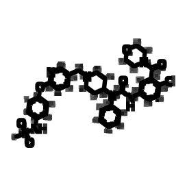 CS(=O)(=O)Nc1ccc(Oc2ccc(CN3CCC(N(C(=O)Nc4ccc(Cl)c(C(=O)N5CCOCC5)c4)c4ccccc4)CC3)cn2)cc1